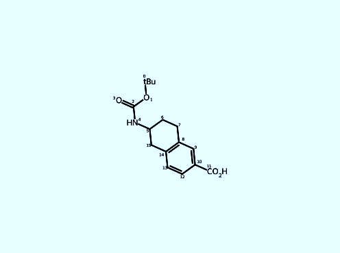 CC(C)(C)OC(=O)NC1CCc2cc(C(=O)O)ccc2C1